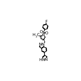 C[C@@H]1C[C@H](Cn2ncc3cc(-c4cn[nH]c4)ccc32)CN1S(=O)(=O)c1ccc(F)cc1